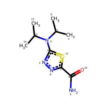 CC(C)N(c1nnc(C(N)=O)s1)C(C)C